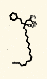 CCCCC/C=C\C/C=C\CCCCCCCCOC(CCc1ccccc1)(CN(C)C)C(=O)O